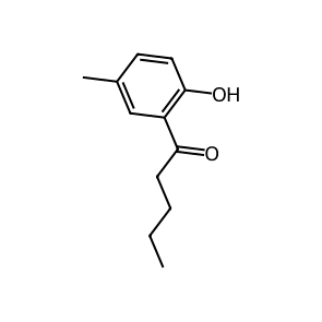 CCCCC(=O)c1cc(C)ccc1O